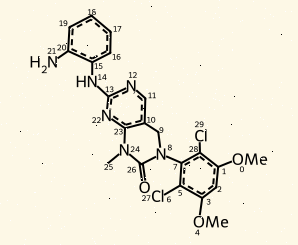 COc1cc(OC)c(Cl)c(N2Cc3cnc(Nc4ccccc4N)nc3N(C)C2=O)c1Cl